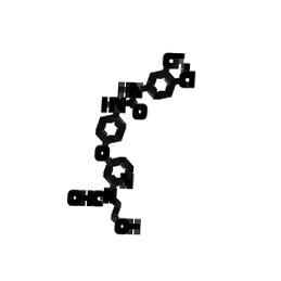 O=CN(CCO)c1cc(Oc2ccc(NC(=O)Nc3ccc(Cl)c(C(F)(F)F)c3)cc2)ccn1